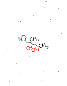 CCCC(C(=O)O)=C(C)Cc1cccnc1